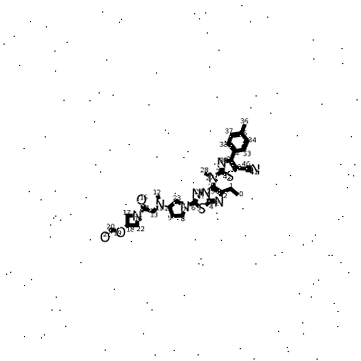 CCc1nc2sc(N3CC[C@H](N(C)CC(=O)N4CC(OC=O)C4)C3)nn2c1N(C)c1nc(-c2ccc(C)cc2)c(C#N)s1